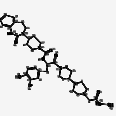 O=C(CN1CCN(C2CCN(C(=O)C(Cc3ccc(O)c(Br)c3)OC(=O)N3CCC(N4CCc5ccccc5NC4=O)CC3)CC2)CC1)NO